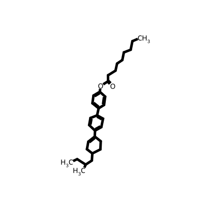 CCCCCCCCC(=O)Oc1ccc(-c2ccc(C3=CCC(CC(C)CC)CC3)cc2)cc1